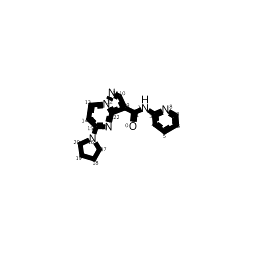 O=C(Nc1ccccn1)c1cnn2ccc(N3CCCC3)nc12